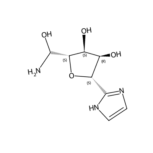 NC(O)[C@H]1O[C@@H](c2ncc[nH]2)[C@H](O)[C@@H]1O